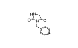 O=C1CNC(=O)N1Cc1cc[c]cc1